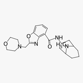 CN1C2CCCC1CC(NC(=O)c1cccc3oc(CN4CCOCC4)nc13)C2